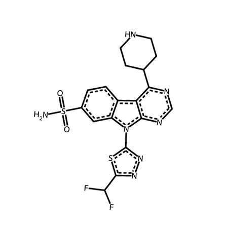 NS(=O)(=O)c1ccc2c3c(C4CCNCC4)ncnc3n(-c3nnc(C(F)F)s3)c2c1